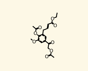 CCOC(=O)C=CCc1cc(C(=O)COC(C)=O)cc(OC)c1OC(C)=O